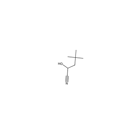 CC(C)(C)CC(O)C#N